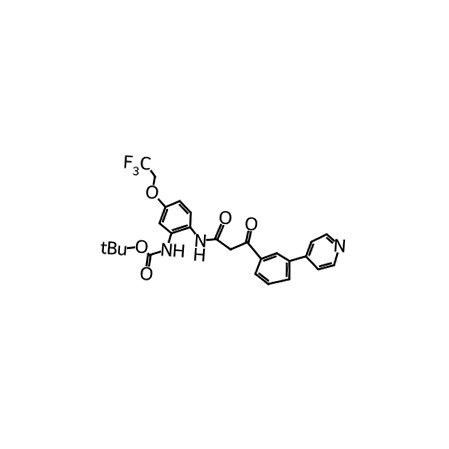 CC(C)(C)OC(=O)Nc1cc(OCC(F)(F)F)ccc1NC(=O)CC(=O)c1cccc(-c2ccncc2)c1